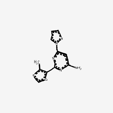 Cc1ncoc1-c1nc(N)cc(-n2cccn2)n1